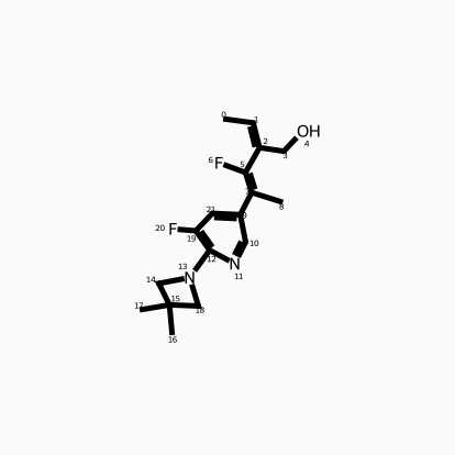 C/C=C(CO)\C(F)=C(/C)c1cnc(N2CC(C)(C)C2)c(F)c1